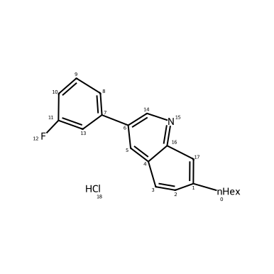 CCCCCCc1ccc2cc(-c3cccc(F)c3)cnc2c1.Cl